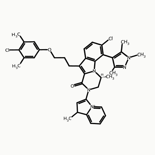 Cc1cc(OCCCc2c3n(c4c(-c5c(C)nn(C)c5C)c(Cl)ccc24)[C@H](C)CN(C2=CC(C)c4cccc[n+]42)C3=O)cc(C)c1Cl